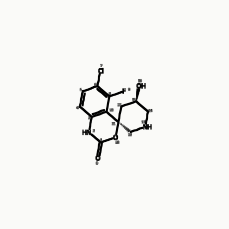 O=C1Nc2ccc(Cl)c(F)c2[C@]2(CNC[C@H](O)C2)O1